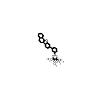 CC1(C)OB(c2cccc(-c3ccc4c(c3)oc3c5ccccc5ccc43)c2)OC1(C)C